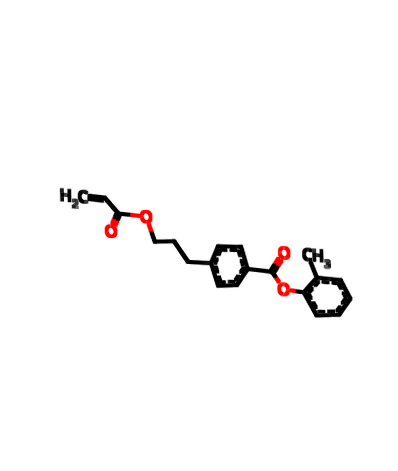 C=CC(=O)OCCCc1ccc(C(=O)Oc2ccccc2C)cc1